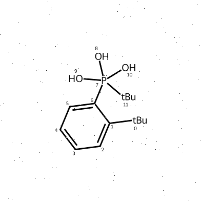 CC(C)(C)c1ccccc1P(O)(O)(O)C(C)(C)C